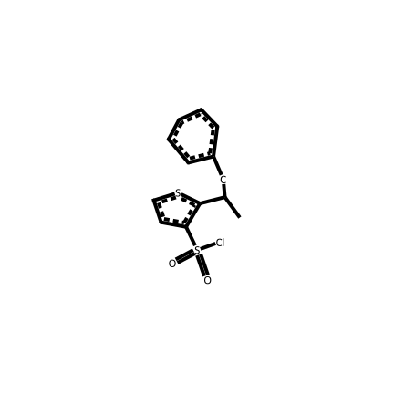 CC(Cc1ccccc1)c1sccc1S(=O)(=O)Cl